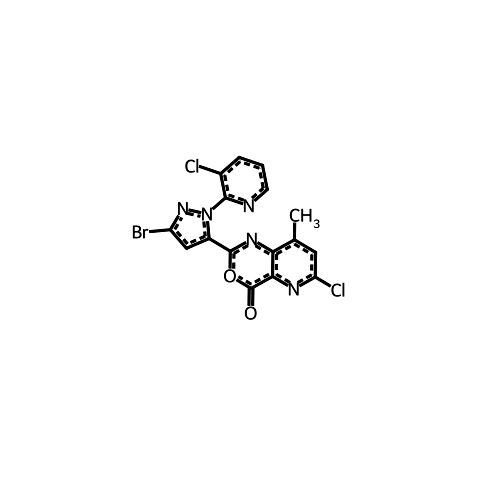 Cc1cc(Cl)nc2c(=O)oc(-c3cc(Br)nn3-c3ncccc3Cl)nc12